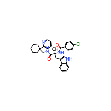 C[C@@](Cc1c[nH]c2ccccc12)(NC(=O)c1ccc(Cl)cc1)C(=O)NCC1(c2ccccn2)CCCCC1